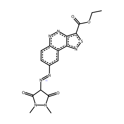 CCOC(=O)c1snc2c1nnc1ccc(/N=N/C3C(=O)N(C)N(C)C3=O)cc12